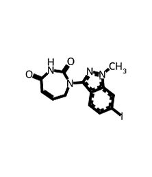 Cn1nc(N2CC=CC(=O)NC2=O)c2ccc(I)cc21